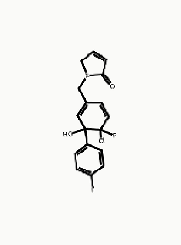 O=C1C=CCN1CC1=CC(O)(c2ccc(F)cc2)C(F)(Cl)C=C1